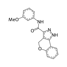 COc1cccc(NC(=O)c2n[nH]c3c2COc2ccccc2-3)c1